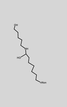 CCCCCCCCCCCCCCCC(O)NCCCCCO